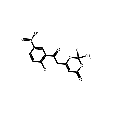 CC1(C)OC(=O)C=C(CC(=O)c2cc([N+](=O)[O-])ccc2Cl)O1